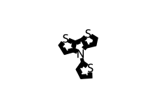 c1csc(-n2c3ccsc3c3sccc32)c1